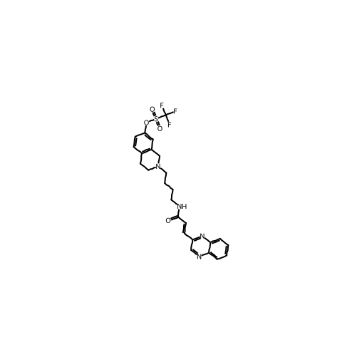 O=C(C=Cc1cnc2ccccc2n1)NCCCCN1CCc2ccc(OS(=O)(=O)C(F)(F)F)cc2C1